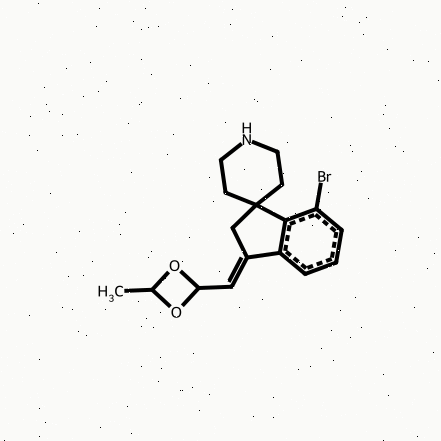 CC1OC(/C=C2\CC3(CCNCC3)c3c(Br)cccc32)O1